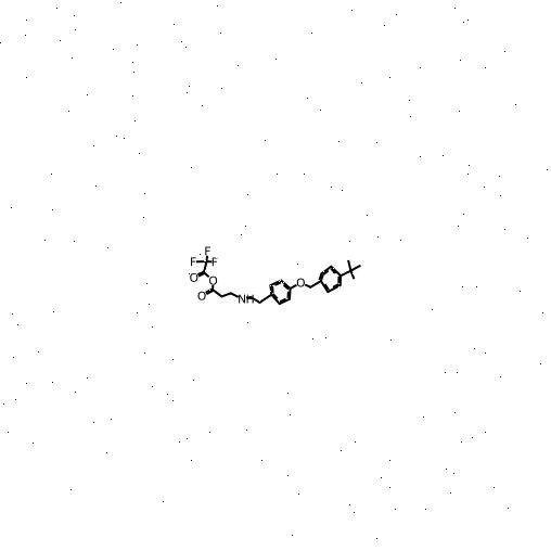 CC(C)(C)c1ccc(COc2ccc(CCNCCC(=O)OC(=O)C(F)(F)F)cc2)cc1